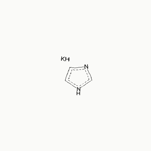 [KH].c1c[nH]cn1